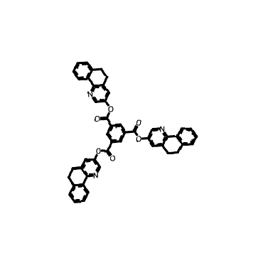 O=C(Oc1cnc2c(c1)CCc1ccccc1-2)c1cc(C(=O)Oc2cnc3c(c2)CCc2ccccc2-3)cc(C(=O)Oc2cnc3c(c2)CCc2ccccc2-3)c1